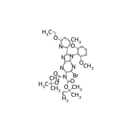 CCOc1cccc(-c2nc3nc(N(C(=O)OC(C)(C)C)C(=O)OC(C)(C)C)c(Br)nc3n2-c2c(OC)cccc2OC)n1